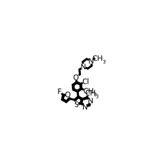 Cc1c(-c2c(-c3ccc(F)o3)sc3ncnc(C)c23)ccc(OCCN2CCN(C)CC2)c1Cl